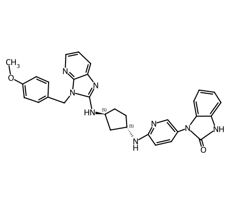 COc1ccc(Cn2c(N[C@H]3CC[C@H](Nc4ccc(-n5c(=O)[nH]c6ccccc65)cn4)C3)nc3cccnc32)cc1